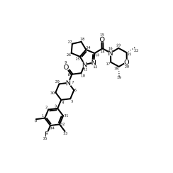 Cc1cc(C2CCN(C(=O)Cn3nc(C(=O)N4C[C@@H](C)O[C@@H](C)C4)c4c3CCC4)CC2)cc(C)c1F